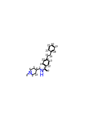 C=C(NCC1CCN(C)CC1)c1ccc(CCc2ccccc2)cc1